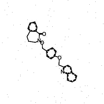 O=C1c2ccccc2CCCN1OCc1ccc(OCc2ccc3ccccc3n2)cc1